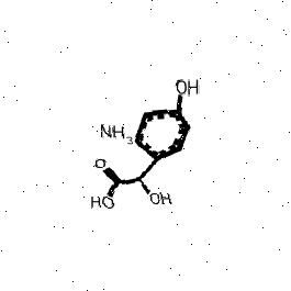 N.O=C(O)[C@H](O)c1ccc(O)cc1